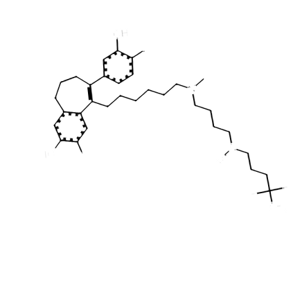 CN(CCCCCCC1=C(c2ccc(F)c(O)c2)CCCc2cc(O)c(F)cc21)CCCC[S+]([O-])CCCC(F)(F)C(F)(F)F